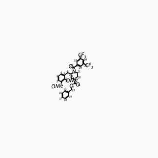 COc1cccc(CC2CN(C(=O)OCc3ccccc3)CCN2C(=O)c2cc(C(F)(F)F)cc(C(F)(F)F)c2)c1OC